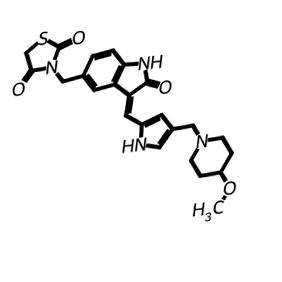 COC1CCN(Cc2c[nH]c(C=C3C(=O)Nc4ccc(CN5C(=O)CSC5=O)cc43)c2)CC1